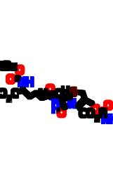 COC1(NC(=O)CCCC(NC(=O)OC(C)(C)C)C(=O)O)C(=O)N2C(C(=O)O)=C(COC(N)=O)CS[C@H]21